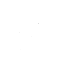 O=C(O)C(=O)O[SiH](C(F)(F)F)C(F)(F)F